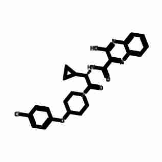 O=C(N[C@H](C(=O)N1CCC(Oc2ccc(Cl)cc2)CC1)C1CC1)c1nc2ccccc2nc1O